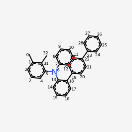 Cc1cccc(N(c2ccccc2)c2ccccc2-c2ccc(-c3ccccc3)cc2)c1C